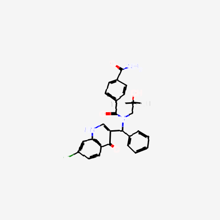 CC(C)(O)CN(C(=O)c1ccc(C(N)=O)cc1)C(c1ccccc1)c1c[nH]c2cc(Cl)ccc2c1=O